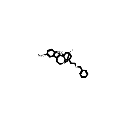 CCOC(=O)C12C[C@H]3CC(CCOCc4ccccc4)C1N(CCc1c2[nH]c2ccc(OC)cc12)C3